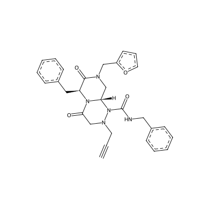 C#CCN1CC(=O)N2[C@@H](Cc3ccccc3)C(=O)N(Cc3ccco3)C[C@@H]2N1C(=O)NCc1ccccc1